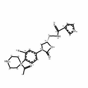 CC(=S)[N+]1(c2ccc(N3C[C@H](CNC(=S)c4ccoc4)OC3=O)cc2F)CCNCC1